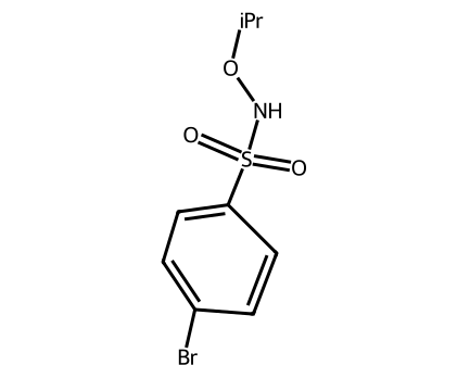 CC(C)ONS(=O)(=O)c1ccc(Br)cc1